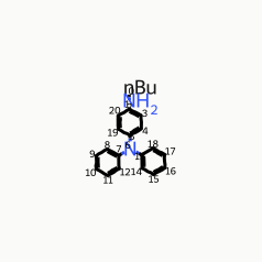 CCCCN.c1ccc(N(c2ccccc2)c2ccccc2)cc1